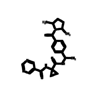 CC(NC(=O)C1(NC(=O)c2cncnc2)CC1)c1ccc(C(=O)N2C(C)CCC2C)cc1